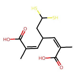 CC(=CC(C=C(C)C(=O)O)CC(S)S)C(=O)O